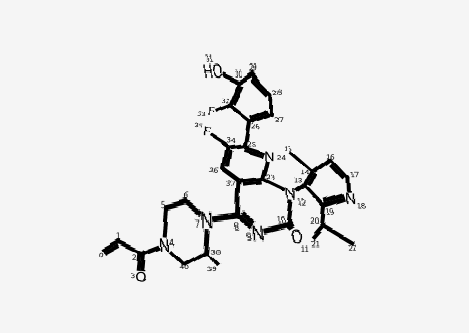 C=CC(=O)N1CCN(c2nc(=O)n(-c3c(C)ccnc3C(C)C)c3nc(-c4cccc(O)c4F)c(F)cc23)[C@@H](C)C1